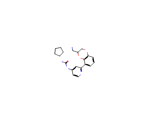 NCC1COc2cccc(-c3cc(NC(=O)N[C@@H]4CC[C@H](N)C4)ccn3)c2O1